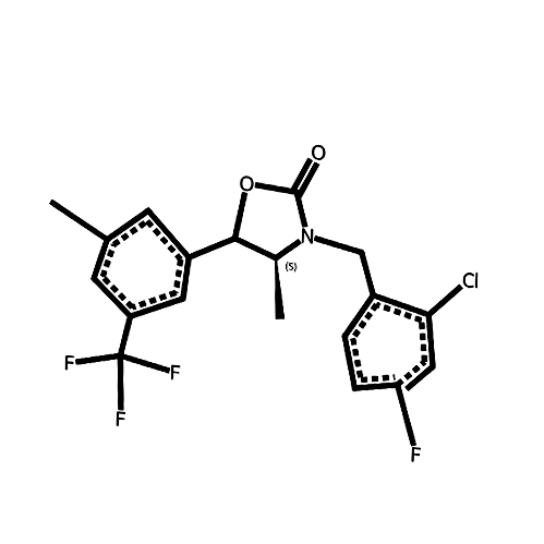 Cc1cc(C2OC(=O)N(Cc3ccc(F)cc3Cl)[C@H]2C)cc(C(F)(F)F)c1